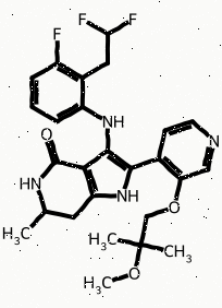 COC(C)(C)COc1cnccc1-c1[nH]c2c(c1Nc1cccc(F)c1CC(F)F)C(=O)NC(C)C2